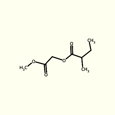 CCC(C)C(=O)OCC(=O)OC